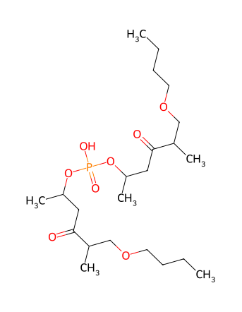 CCCCOCC(C)C(=O)CC(C)OP(=O)(O)OC(C)CC(=O)C(C)COCCCC